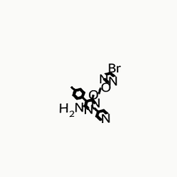 Cc1ccc(-c2c(N)nc(-c3ccncc3)nc2OCCOc2ncc(Br)cn2)cc1